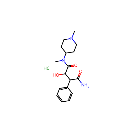 CN1CCC(N(C)C(=O)C(O)C(C(N)=O)c2ccccc2)CC1.Cl